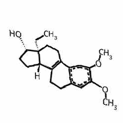 CC[C@]12CCC3=C(CCc4cc(OC)c(OC)cc43)[C@@H]1CC[C@@H]2O